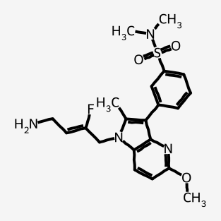 COc1ccc2c(n1)c(-c1cccc(S(=O)(=O)N(C)C)c1)c(C)n2CC(F)=CCN